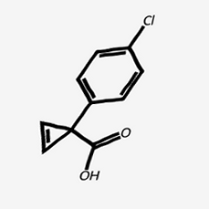 O=C(O)C1(c2ccc(Cl)cc2)C=C1